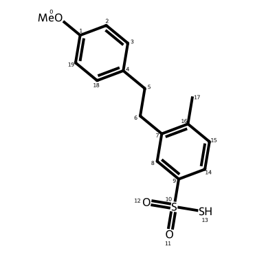 COc1ccc(CCc2cc(S(=O)(=O)S)ccc2C)cc1